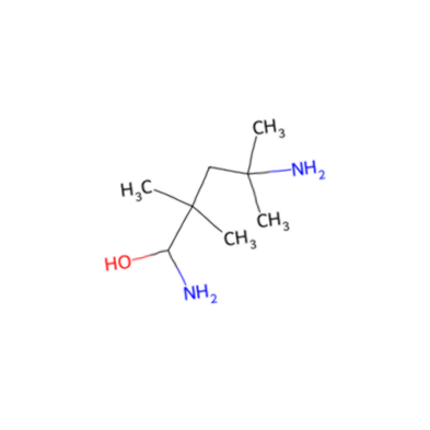 CC(C)(N)CC(C)(C)C(N)O